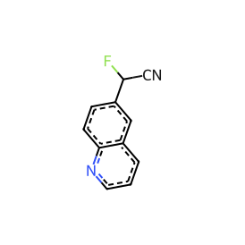 N#CC(F)c1ccc2ncccc2c1